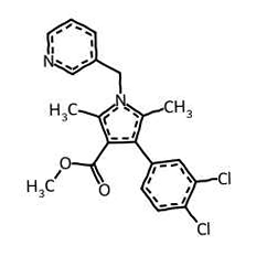 COC(=O)c1c(-c2ccc(Cl)c(Cl)c2)c(C)n(Cc2cccnc2)c1C